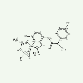 CC(C(=O)Nc1ccc(F)c([C@@]2(C(F)F)N=C(N)O[C@@H]3C[C@@H]32)c1)c1ccc(Cl)cc1